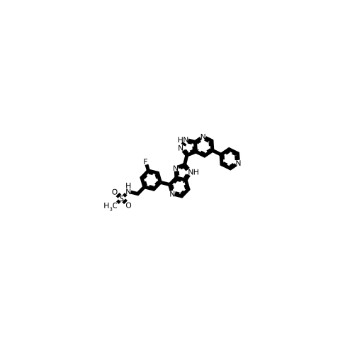 CS(=O)(=O)NCc1cc(F)cc(-c2nccc3[nH]c(-c4n[nH]c5ncc(-c6ccncc6)cc45)nc23)c1